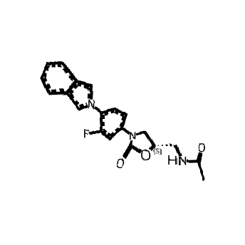 CC(=O)NC[C@H]1CN(c2ccc(-n3cc4ccccc4c3)c(F)c2)C(=O)O1